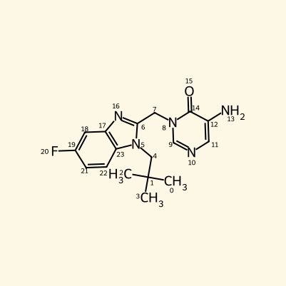 CC(C)(C)Cn1c(Cn2cncc(N)c2=O)nc2cc(F)ccc21